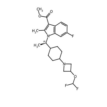 COC(=O)c1c(C)n([C@H](C)C2CCC(N3CC(OC(F)F)C3)CC2)c2cc(F)ccc12